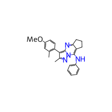 COc1ccc(-c2c(C)nn3c(Nc4ccccc4)c4c(nc23)CCC4)c(C)c1